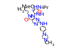 C=CCn1c(=O)c2cnc(Nc3ccc(N4CCN(C)CC4)cc3)nc2n1C(=N)/C=C(/OC)C(=O)NC(C)C